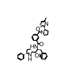 Cc1csc([C@H]2CCCN2C(=O)c2cccc(C(=O)N[C@@H](Cc3ccccc3)[C@H](O)[C@H]3CC[C@@H](c4ccccc4)N3)c2)n1